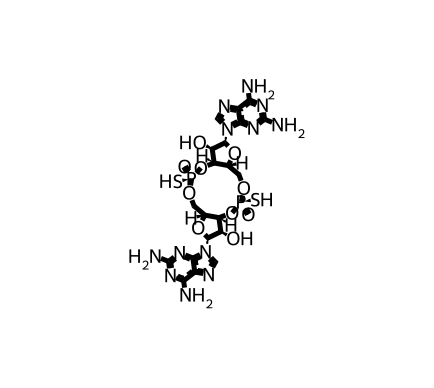 Nc1nc(N)c2ncn([C@@H]3O[C@@H]4CO[P@@](=O)(S)O[C@H]5[C@@H](O)[C@H](n6cnc7c(N)nc(N)nc76)O[C@@H]5CO[P@@](=O)(S)O[C@H]4[C@H]3O)c2n1